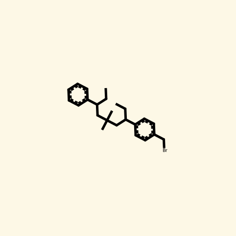 CCC(CC(C)(C)CC(CC)c1ccc(CBr)cc1)c1ccccc1